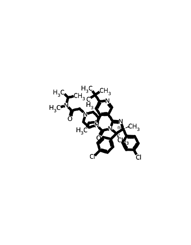 CCOc1cc(C(C)(C)C)ncc1C1=N[C@@](C)(c2ccc(Cl)cc2)[C@@](C)(c2ccc(Cl)cc2)N1C(=O)N1CCN(CC(=O)N(C)C(C)C)CC1